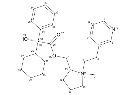 C[N+]1(CCc2cncnc2)CCCC1COC(=O)[C@](O)(c1ccccc1)C1CCCCC1